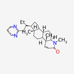 CCC(Cc1ncccn1)[C@H]1CC[C@H]2[C@@H]3CC[C@H]4N(C)C(=O)C=C[C@]4(C)[C@H]3CC[C@]12C